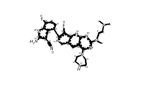 CN(C)CCN(C)c1nc(N2CCNCC2)c2cc3cnc(-c4ccc(F)c5sc(N)c(C#N)c45)c(F)c3nc2n1